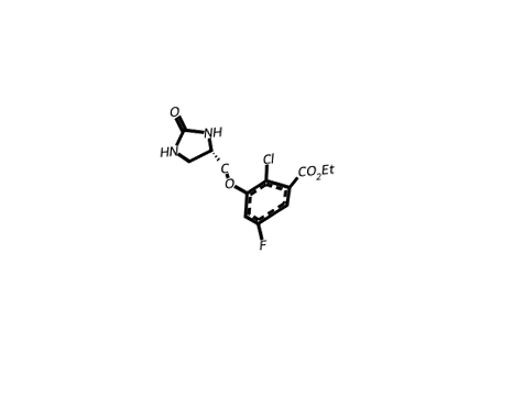 CCOC(=O)c1cc(F)cc(OC[C@@H]2CNC(=O)N2)c1Cl